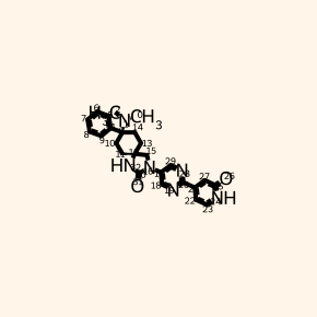 CN(C)[C@]1(c2ccccc2)CC[C@@]2(CC1)CN(c1cnc(-c3cc[nH]c(=O)c3)nc1)C(=O)N2